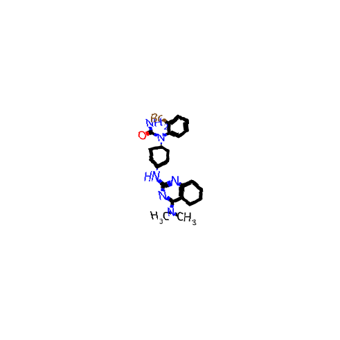 CN(C)c1nc(N[C@H]2CC[C@@H](N(C(N)=O)c3ccccc3Br)CC2)nc2c1CCCC2